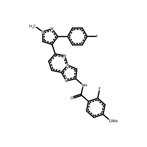 COc1ccc(C(=O)Nc2cn3nc(-c4cn(C)nc4-c4ccc(F)cc4)ccc3n2)c(F)c1